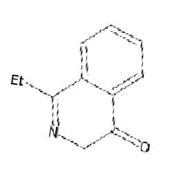 CCC1=NCC(=O)c2ccccc21